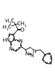 CC(C)(C)C(=O)c1c[nH]c2ncc(C3CN(Cc4ccccc4)N=N3)nc12